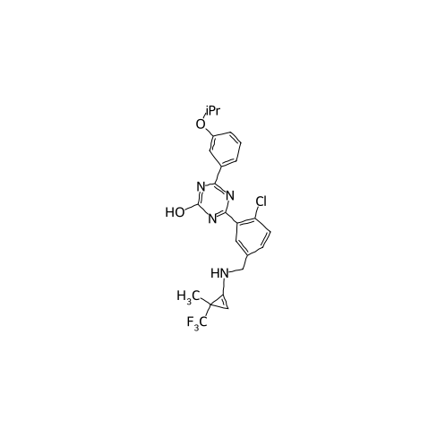 CC(C)Oc1cccc(-c2nc(O)nc(-c3cc(CNC4=CC4(C)C(F)(F)F)ccc3Cl)n2)c1